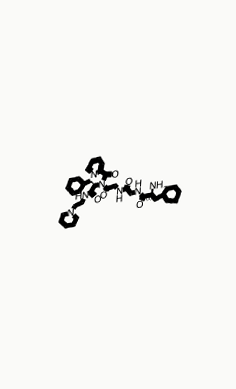 N[C@@H](CC1CCCCC1)C(=O)NCC(=O)NCC(=O)N(C(=O)c1ccccn1)[C@@H](CC1CCCCC1)C(=O)NCCN1CCCCC1